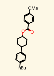 CCCCc1ccc(C2CCC(OC(=O)c3ccc(OC)cc3)CC2)cc1